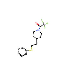 O=C(N1CCC(CCSc2ccccc2)CC1)C(F)(F)F